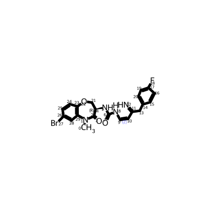 CN1C(=O)[C@H](NC(=O)N/C=C\C(=N)Cc2ccc(F)cc2)COc2ccc(Br)cc21